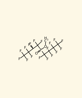 COP(=O)(C(F)(F)C(F)(F)C(F)(F)C(F)(F)F)C(F)(F)C(F)(F)C(F)(F)C(F)(F)F